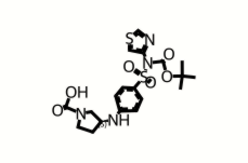 CC(C)(C)OC(=O)N(c1cscn1)S(=O)(=O)c1ccc(N[C@H]2CCN(C(=O)O)C2)cc1